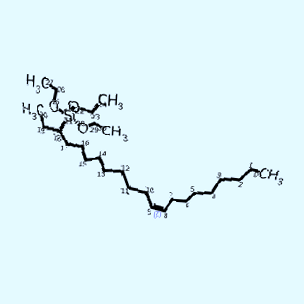 CCCCCCCC/C=C\CCCCCCCCC(CC)[Si](OCC)(OCC)OCC